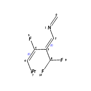 C=N/C=C(\C(F)=C/C(C)C)C(F)F